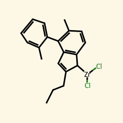 CCCC1=Cc2c(ccc(C)c2-c2ccccc2C)[CH]1[Zr]([Cl])[Cl]